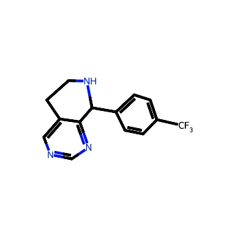 FC(F)(F)c1ccc(C2NCCc3cncnc32)cc1